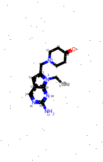 CC(C)(C)Cn1c(CN2CCC(=O)CC2)cc2cnc(N)nc21